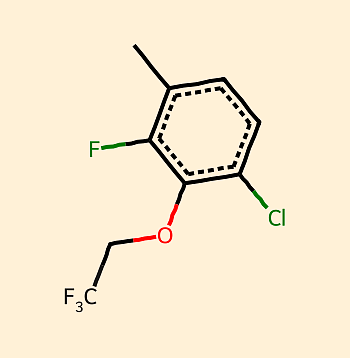 Cc1ccc(Cl)c(OCC(F)(F)F)c1F